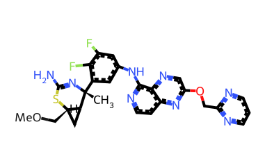 COC[C@]12C[C@H]1[C@@](C)(c1cc(Nc3nccc4nc(OCc5ncccn5)cnc34)cc(F)c1F)N=C(N)S2